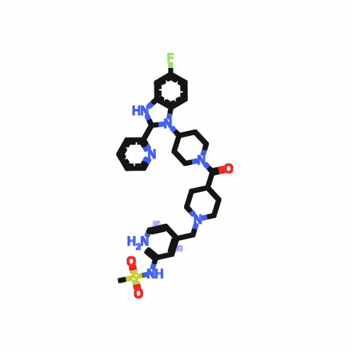 C=C(/C=C(\C=C/N)CN1CCC(C(=O)N2CCC(N3c4ccc(F)cc4NC3c3ccccn3)CC2)CC1)NS(C)(=O)=O